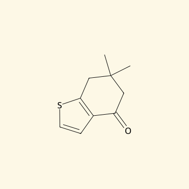 CC1(C)CC(=O)c2ccsc2C1